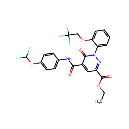 CCOC(=O)c1cc(C(=O)Nc2ccc(OC(F)F)cc2)c(=O)n(-c2ccccc2OCC(F)(F)F)n1